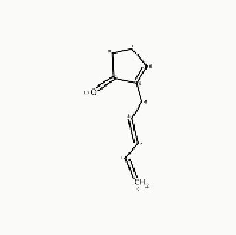 C=CC=CCC1=C[CH]CC1=O